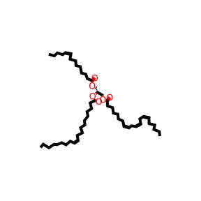 CCCC/C=C\CCCCCCCC(=O)OC[C@H](COC(=O)CCCCCC/C=C\C/C=C\C/C=C\CCCCC)OC(=O)CCCCCCCCC/C=C\CCCCCCCC